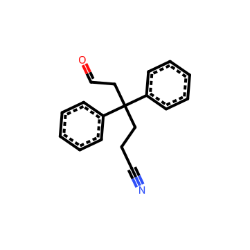 N#CCCC(CC=O)(c1ccccc1)c1ccccc1